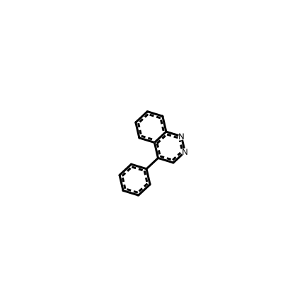 c1ccc(-c2cnnc3ccccc23)cc1